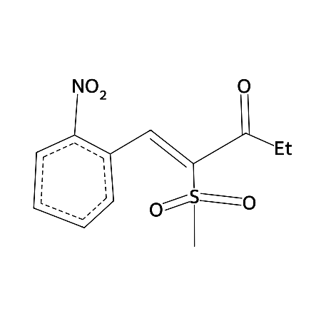 CCC(=O)C(=Cc1ccccc1[N+](=O)[O-])S(C)(=O)=O